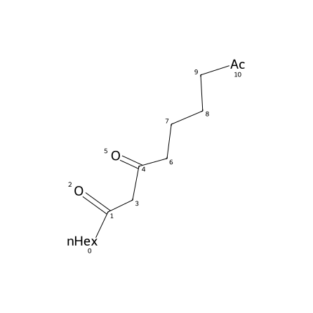 CCCCCCC(=O)CC(=O)CCCCC(C)=O